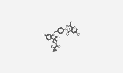 O=C(N[C@H]1CC[C@H](CN2C(=O)C3(CN(C(=O)C4(F)CC4)C3)c3ccc(F)cc32)CC1)c1cc(Cl)cnc1C(F)F